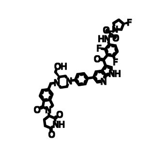 O=C1CCC(N2Cc3cc(CN4CCN(c5ccc(-c6cnc7[nH]cc(C(=O)c8c(F)ccc(NS(=O)(=O)N9CC[C@@H](F)C9)c8F)c7c6)cc5)C[C@@H]4CO)ccc3C2=O)C(=O)N1